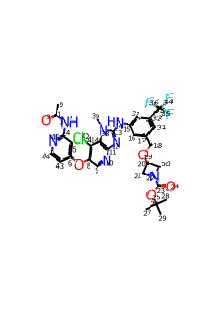 CC(=O)Nc1cc(Oc2cnc3nc(Nc4cc(COC5CN(C(=O)OC(C)(C)C)C5)cc(C(F)(F)F)c4)n(C)c3c2Cl)ccn1